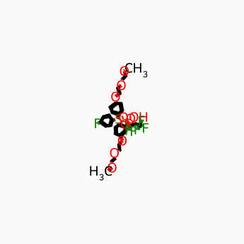 COCCOCCOc1ccc(S(OS(=O)(=O)C(F)(F)C(O)C(F)(F)F)(c2ccc(F)cc2)c2ccc(OCCOCCOC)cc2)cc1